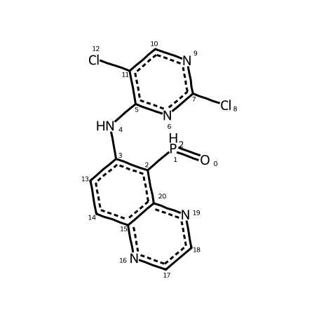 O=[PH2]c1c(Nc2nc(Cl)ncc2Cl)ccc2nccnc12